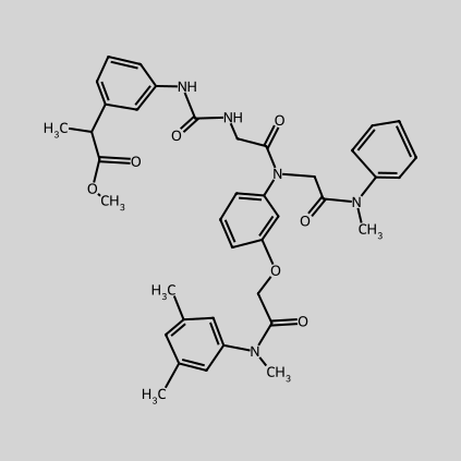 COC(=O)C(C)c1cccc(NC(=O)NCC(=O)N(CC(=O)N(C)c2ccccc2)c2cccc(OCC(=O)N(C)c3cc(C)cc(C)c3)c2)c1